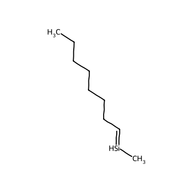 CCCCCCCC=[SiH]C